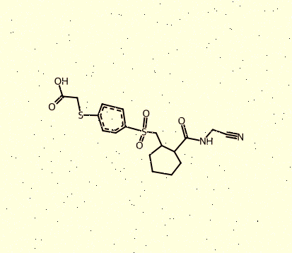 N#CCNC(=O)C1CCCCC1CS(=O)(=O)c1ccc(SCC(=O)O)cc1